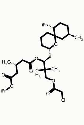 CC(C)OC(=O)C[C@H](C)CC(=O)O[C@@H](C[C@@H]1CCCC2(C[C@H](C)CC[C@H]2C(C)C)O1)C(C)(C)COC(=O)CCl